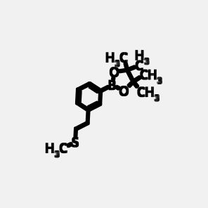 CSCCc1cccc(B2OC(C)(C)C(C)(C)O2)c1